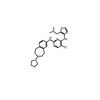 CN(C)Cc1occc1Nc1nc(Nc2ccc3c(c2)CC[C@@H](N2CCCC2)CC3)ncc1Cl